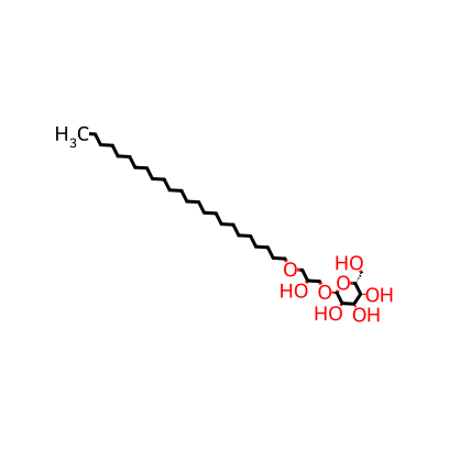 CCCCCCCCCCCCCCCCCCCCCCCCOCC(O)CO[C@H]1O[C@H](CO)[C@H](O)[C@H](O)[C@H]1O